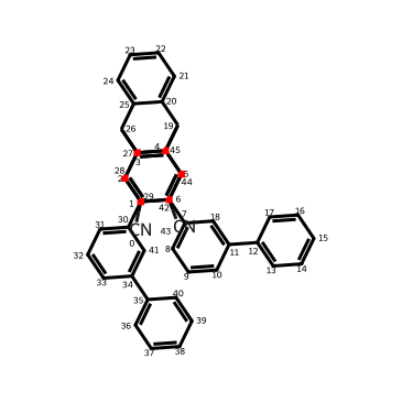 N#Cc1cc2c(cc1-c1cccc(-c3ccccc3)c1)C1c3ccccc3C2c2cc(-c3cccc(-c4ccccc4)c3)c(C#N)cc21